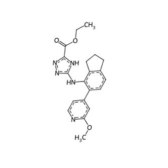 CCOC(=O)c1nnc(Nc2c(-c3ccnc(OC)c3)ccc3c2CCC3)[nH]1